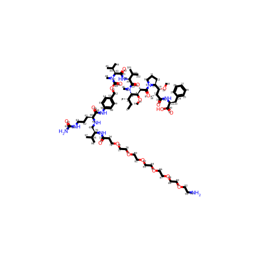 CC[C@H](C)[C@@H]([C@@H](CC(=O)N1CCC[C@H]1[C@H](OC)[C@@H](C)C(=O)N[C@@H](Cc1ccccc1)C(=O)O)OC)N(C)C(=O)[C@@H](NC(=O)[C@H](C(C)C)N(C)C(=O)OCc1ccc(NC(=O)[C@H](CCCNC(N)=O)NC[C@@H](NC(=O)CCOCCOCCOCCOCCOCCOCCN)C(C)C)cc1)C(C)C